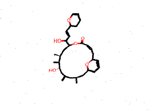 C=C1CC(C)CC2CC=CC(C/C=C\C(=O)OC(C(O)/C=C/C3CCCCO3)C[C@H](C)C(C)[C@@H](O)C1)O2